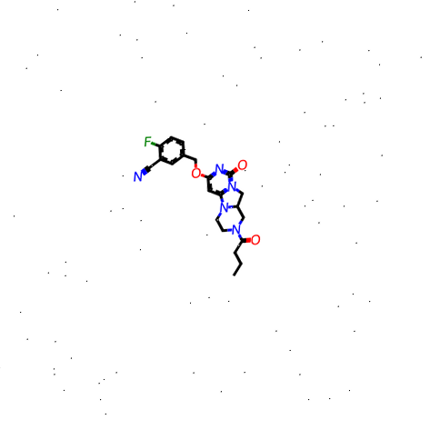 CCCC(=O)N1CCN2c3cc(OCc4ccc(F)c(C#N)c4)nc(=O)n3CC2C1